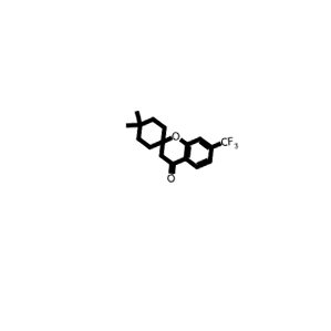 CC1(C)CCC2(CC1)CC(=O)c1ccc(C(F)(F)F)cc1O2